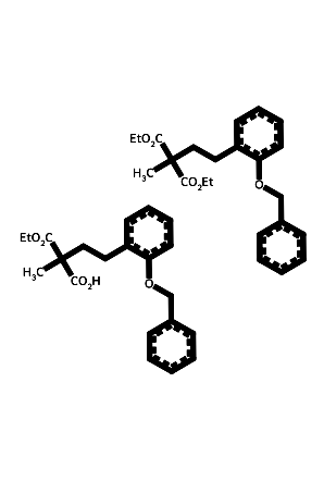 CCOC(=O)C(C)(CCc1ccccc1OCc1ccccc1)C(=O)O.CCOC(=O)C(C)(CCc1ccccc1OCc1ccccc1)C(=O)OCC